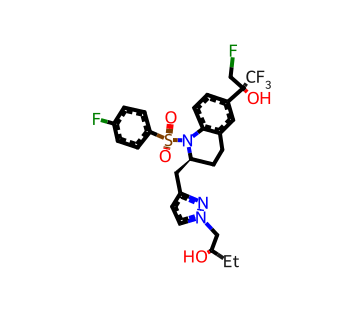 CCC(O)Cn1ccc(C[C@@H]2CCc3cc(C(O)(CF)C(F)(F)F)ccc3N2S(=O)(=O)c2ccc(F)cc2)n1